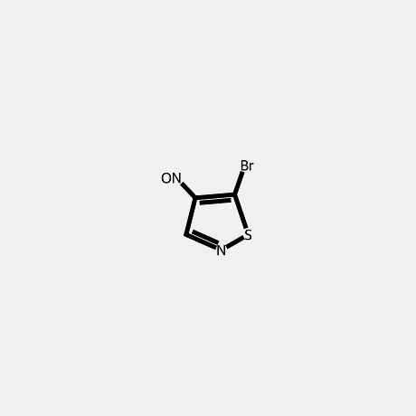 O=Nc1cnsc1Br